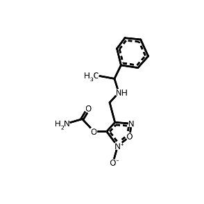 CC(NCc1no[n+]([O-])c1OC(N)=O)c1ccccc1